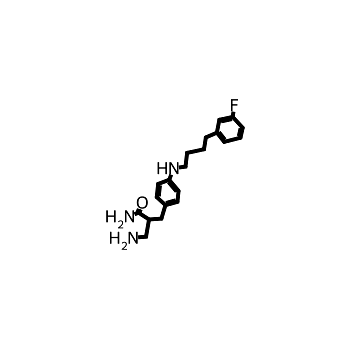 NCC(Cc1ccc(NCCCCc2cccc(F)c2)cc1)C(N)=O